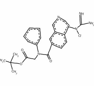 CC(C)(C)OC(=O)CN(C(=O)c1ccc2c(N(Cl)C(=N)N)cncc2c1)c1ccccc1